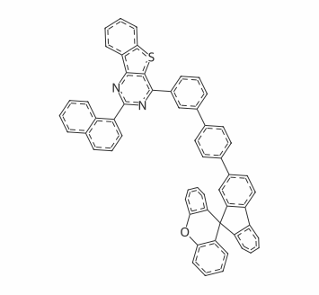 c1cc(-c2ccc(-c3ccc4c(c3)C3(c5ccccc5Oc5ccccc53)c3ccccc3-4)cc2)cc(-c2nc(-c3cccc4ccccc34)nc3c2sc2ccccc23)c1